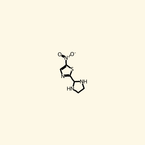 O=[N+]([O-])c1cnc(C2NCCN2)s1